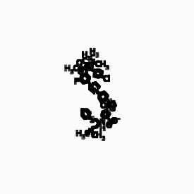 Cc1c(S(C)(=O)=O)c(-c2cc(F)cc(N3CCN(c4ccc(N5CCOP5(=O)c5ccc(NC(CCN(C)C)CSc6ccccc6)c([N+](=O)[O-])c5)cc4)CC3)c2)c(-c2ccc(Cl)cc2)n1C(C)C